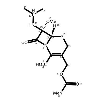 CNC(=O)OCC1=C(C(=O)O)N2C(=O)[C@](N[PH2](C)C)(OC)[C@@H]2SC1